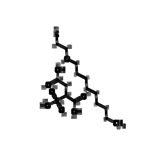 CCCCCCCCCOC[CH2][K].O=C(O)CC(C(=O)O)S(=O)(=O)O